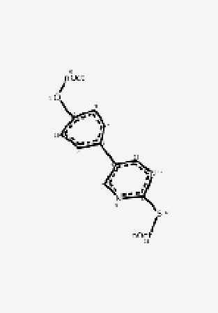 CCCCCCCCOc1ccc(-c2cnc(SCCCCCCCC)nc2)cc1